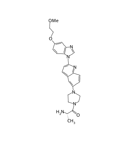 COCCOc1ccc2c(c1)ncn2-c1ccc2cc(N3CCN(C(=O)[C@H](C)N)CC3)ccc2n1